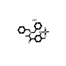 CC(C(=O)c1ccc(F)c(NS(C)(=O)=O)c1)N(Cc1ccccc1)Cc1ccccc1.Cl